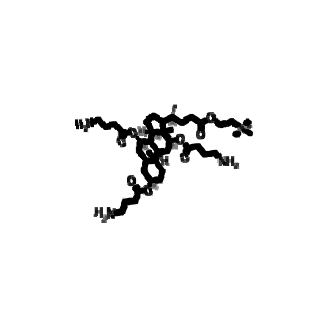 C[C@H](CCC(=O)OCC[N+](C)(C)C)C1CC[C@H]2C3[C@H](OC(=O)CCCN)CC4C[C@H](OC(=O)CCCN)CCC4(C)[C@H]3C[C@H](OC(=O)CCCN)C12C